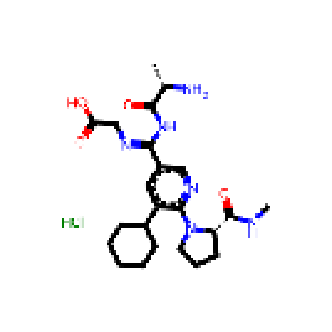 CNC(=O)[C@@H]1CCCN1c1ncc(C(=NCC(=O)O)NC(=O)[C@H](C)N)cc1C1CCCCC1.Cl